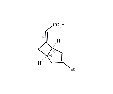 CCC1=C[C@@H]2/C(=C\C(=O)O)C[C@@H]2C1